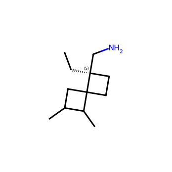 CC[C@]1(CN)CCC12CC(C)C2C